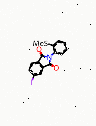 CSc1ccccc1N1C(=O)c2ccc(I)cc2C1=O